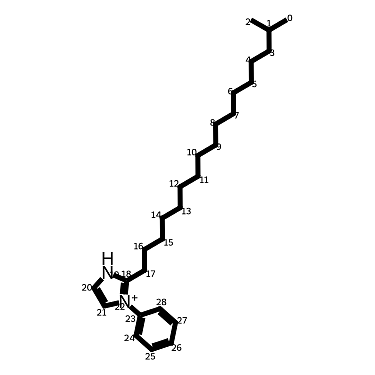 CC(C)CCCCCCCCCCCCCCCc1[nH]cc[n+]1-c1ccccc1